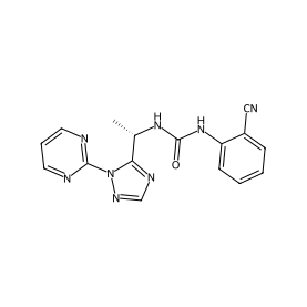 C[C@H](NC(=O)Nc1ccccc1C#N)c1ncnn1-c1ncccn1